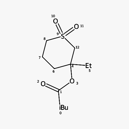 CCC(C)C(=O)OC1(CC)CCCS(=O)(=O)C1